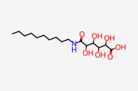 CCCCCCCCCCNC(=O)C(O)C(O)C(O)C(O)C(=O)O